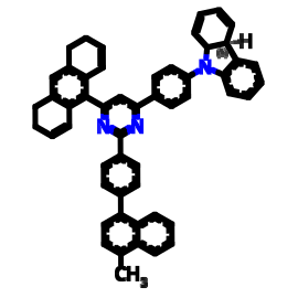 Cc1ccc(-c2ccc(-c3nc(-c4ccc(N5c6ccccc6[C@@H]6C=CC=CC65)cc4)cc(-c4c5c(cc6c4C=CCC6)CCC=C5)n3)cc2)c2ccccc12